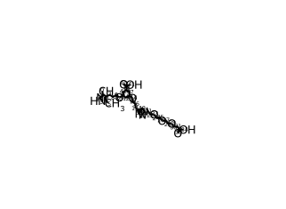 Cc1n[nH]c(C)c1CCCOc1cc(OCCCc2cn(CCOCCOCCOCCC(=O)O)nn2)cc(C(=O)O)c1